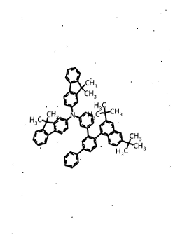 CC(C)(C)c1ccc2c(-c3ccc(-c4ccccc4)cc3-c3cccc(N(c4ccc5c(c4)C(C)(C)c4ccccc4-5)c4ccc5c(c4)C(C)(C)c4ccccc4-5)c3)cc(C(C)(C)C)cc2c1